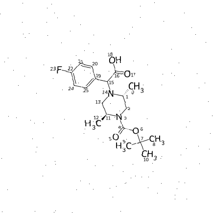 C[C@@H]1CN(C(=O)OC(C)(C)C)[C@@H](C)CN1C(C(=O)O)c1ccc(F)cc1